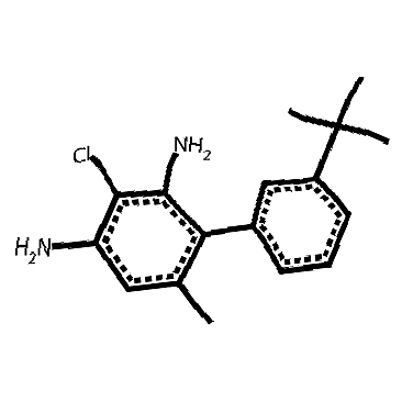 Cc1cc(N)c(Cl)c(N)c1-c1cccc(C(C)(C)C)c1